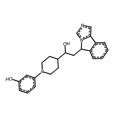 Oc1[c]c(N2CCC(C(O)CC3c4ccccc4-c4cncn43)CC2)ccc1